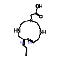 C=C/C=C1CNCCN(CC(=O)O)CCNC/C=N/1